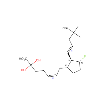 CCCCC(C)(C)C/C=C/[C@@H]1[C@@H](C/C=C\CCC(O)(O)C(=O)O)CC[C@H]1F